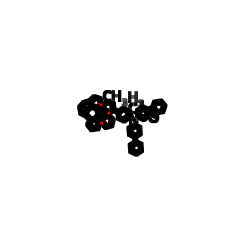 CC1C=C(C2CC=C(N(C3=CC=C(C4=CC=CCC4)CC3)c3ccc4c5c(oc4c3)CCC=C5)C(C)C2)C=C(C2(C3C=CC=CC3)C3=C4CC(CC=CC4=CCC3)c3ccccc32)C1